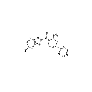 CC1CC(c2ccncn2)=CCN1C(=O)c1cc2ncc(Cl)cn2n1